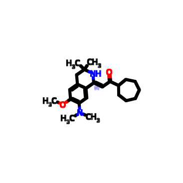 COc1cc2c(cc1N(C)C)/C(=C/C(=O)C1CCCCCC1)NC(C)(C)C2